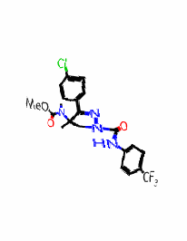 COC(=O)N(C)C1(C)CN(C(=O)Nc2ccc(C(F)(F)F)cc2)N=C1c1ccc(Cl)cc1